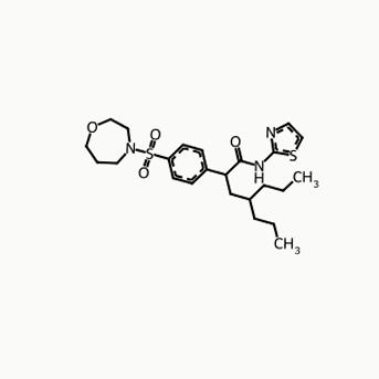 CCCC(CCC)CC(C(=O)Nc1nccs1)c1ccc(S(=O)(=O)N2CCCOCC2)cc1